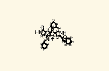 O=C(NCc1ccccc1)C(=O)C(C[C@@H]1CCNC1=O)NC(=O)[C@H](CC1CCCCC1)NC(=O)c1cc2ccccc2o1